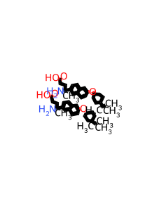 CC(N)(CCC(=O)O)c1ccc2cc(OC3CCC(C(C)(C)C)CC3)ccc2c1.CC(N)(CCC(=O)O)c1ccc2cc(OC3CCC(C(C)(C)C)CC3)ccc2c1